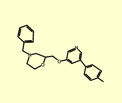 Cc1ccc(-c2cncc(OCC3CN(Cc4ccccc4)CCO3)c2)cc1